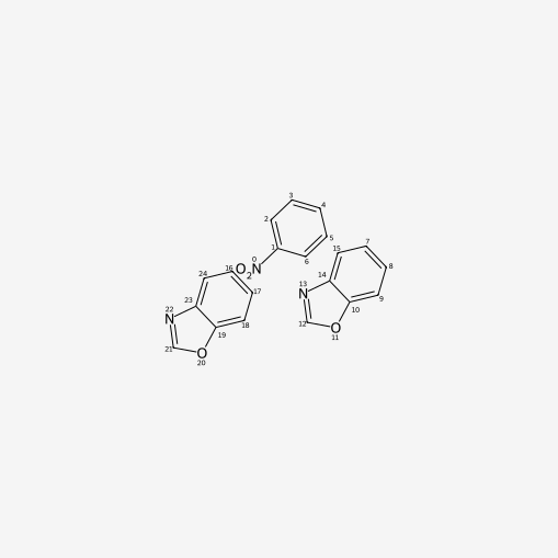 O=[N+]([O-])c1ccccc1.c1ccc2ocnc2c1.c1ccc2ocnc2c1